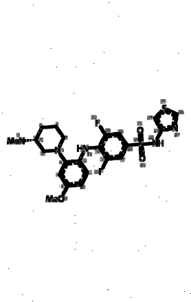 CN[C@@H]1CCCN(c2cc(OC)ccc2Nc2c(F)cc(S(=O)(=O)Nc3cscn3)cc2F)C1